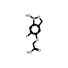 O=C(O)COc1cc2c(cc1F)B(O)OC2